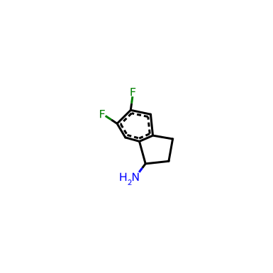 NC1CCc2cc(F)c(F)cc21